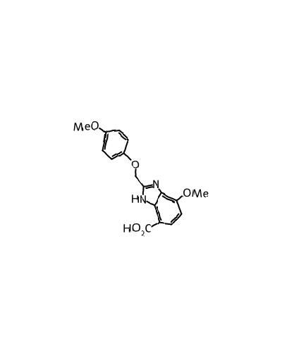 COc1ccc(OCc2nc3c(OC)ccc(C(=O)O)c3[nH]2)cc1